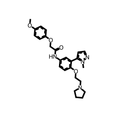 COc1ccc(OCC(=O)Nc2ccc(OCCN3CCCC3)c(-c3ccnn3C)c2)cc1